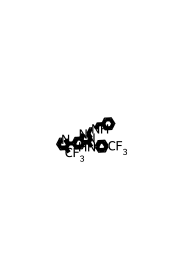 FC(F)(F)c1ccc(Nc2nc(CNCC3CCCCC3)nc3cc(-c4ncccc4C(F)(F)F)ccc23)cc1